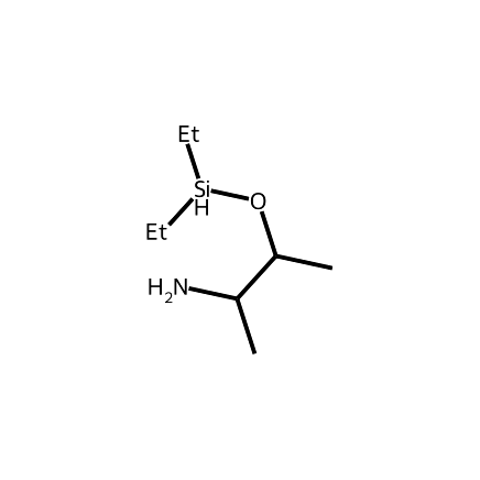 CC[SiH](CC)OC(C)C(C)N